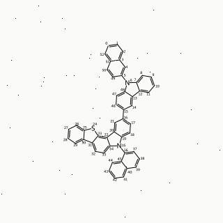 c1ccc2cc(-n3c4ccccc4c4cc(-c5ccc6c(c5)c5c7sc8ccccc8c7ccc5n6-c5cccc6ccccc56)ccc43)ccc2c1